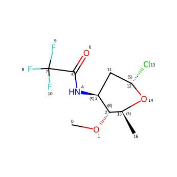 CO[C@@H]1[C@@H](NC(=O)C(F)(F)F)C[C@H](Cl)O[C@H]1C